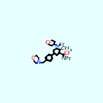 CCCC(=O)c1cc(-c2ccc(CN3CCOCC3)cc2)cc(N(CC)C2CCOCC2)c1C